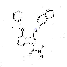 CCN(CC)C(=O)n1cc(/C=C/c2ccc3c(c2)CCO3)c2c(OCc3ccccc3)cccc21